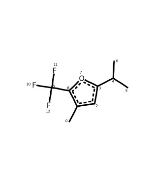 Cc1cc(C(C)C)oc1C(F)(F)F